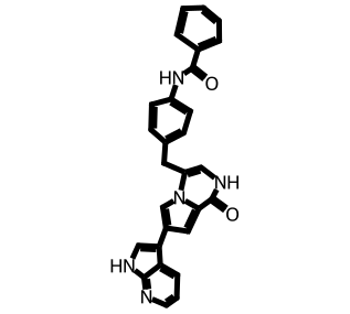 O=C(Nc1ccc(Cc2c[nH]c(=O)c3cc(-c4c[nH]c5ncccc45)cn23)cc1)c1ccccc1